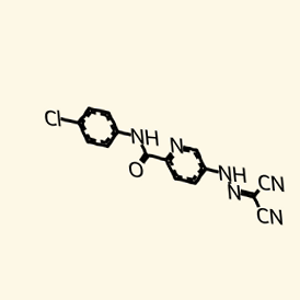 N#CC(C#N)=NNc1ccc(C(=O)Nc2ccc(Cl)cc2)nc1